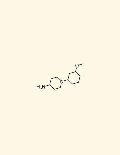 COC1CCCC(N2CCC(N)CC2)C1